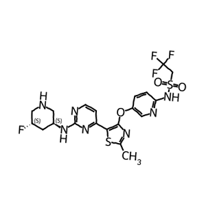 Cc1nc(Oc2ccc(NS(=O)(=O)CC(F)(F)F)nc2)c(-c2ccnc(N[C@@H]3CNC[C@@H](F)C3)n2)s1